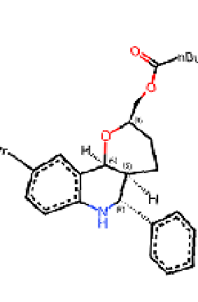 CCCCC(=O)OC[C@H]1CC[C@@H]2[C@H](O1)c1cc(C(C)C)ccc1N[C@H]2c1ccccc1